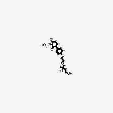 CC(O)(CCO)COCCOc1ccc(C2CCC(=O)N(C(=O)O)C2=O)cc1